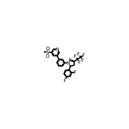 CS(=O)(=O)c1cncc(-c2cccc(N3N=C(C(F)(F)C(F)(F)F)CC3c3ccc(F)cc3F)c2)c1